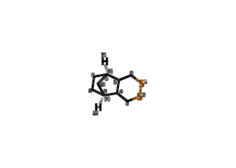 C1SSCC2C1[C@@H]1CC[C@H]2C1